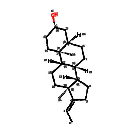 CC=C1CC[C@H]2[C@@H]3CC[C@@H]4C[C@@H](O)CC[C@]4(C)[C@H]3CC[C@]12C